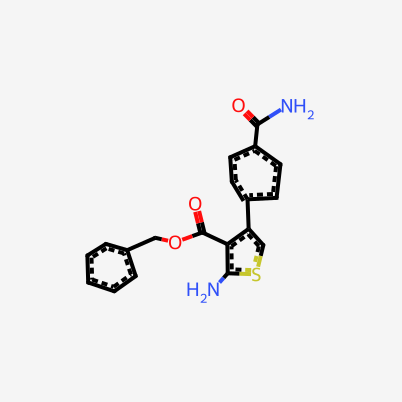 NC(=O)c1ccc(-c2csc(N)c2C(=O)OCc2ccccc2)cc1